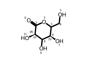 O=C1OC(CO)[C@@H](O)C(O)[C@H]1O